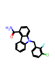 NC(=O)c1cccc2c1c1[c]cccc1n2Cc1cccc(Cl)c1F